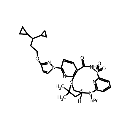 CCCN1c2cccc(n2)S(=O)(=O)NC(=O)c2ccc(-n3ccc(OCCC(C4CC4)C4CC4)n3)nc2N2C[C@H]1CC2(C)C